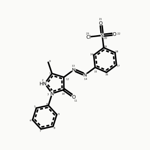 Cc1[nH]n(-c2ccccc2)c(=O)c1N=Nc1cccc(S(=O)(=O)Cl)c1